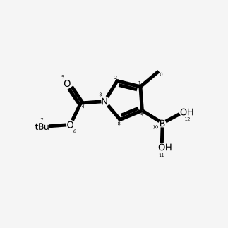 Cc1cn(C(=O)OC(C)(C)C)cc1B(O)O